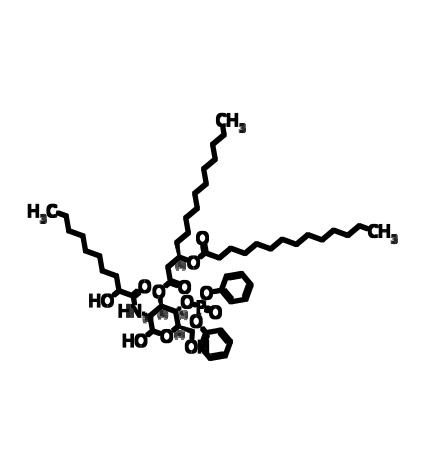 CCCCCCCCCCCCCC(=O)O[C@H](CCCCCCCCCCC)CC(=O)O[C@H]1[C@H](OP(=O)(Oc2ccccc2)Oc2ccccc2)[C@@H](CO)OC(O)[C@@H]1NC(=O)C(O)CCCCCCCC